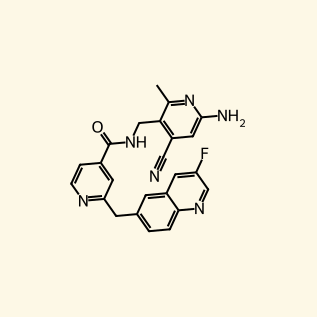 Cc1nc(N)cc(C#N)c1CNC(=O)c1ccnc(Cc2ccc3ncc(F)cc3c2)c1